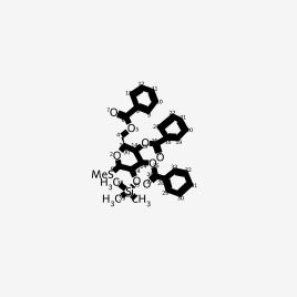 CSC1O[C@H](COC(=O)c2ccccc2)C(OC(=O)c2ccccc2)C(OC(=O)c2ccccc2)C1O[Si](C)(C)C